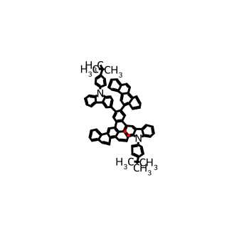 CC(C)(C)c1ccc(-n2c3ccccc3c3cc(-c4cc(-c5cc6c7ccccc7ccc6c6ccccc56)c(-c5ccc6c(c5)c5ccccc5n6-c5ccc(C(C)(C)C)cc5)cc4-c4cc5c6ccccc6ccc5c5ccccc45)ccc32)cc1